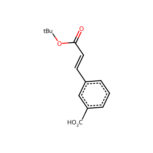 CC(C)(C)OC(=O)C=Cc1cccc(C(=O)O)c1